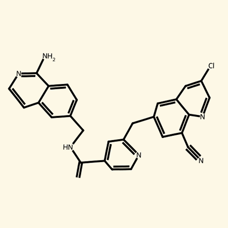 C=C(NCc1ccc2c(N)nccc2c1)c1ccnc(Cc2cc(C#N)c3ncc(Cl)cc3c2)c1